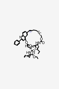 C=C[C@@H]1C[C@]1(NC(=O)[C@@H]1C[C@@H]2CN1C(=O)[C@H](CCCC)NC(=O)OCCCCC/C=C/c1ccc3nc(-c4ccccc4)cc(c3c1)O2)C(=O)OCC